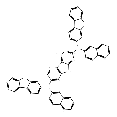 c1ccc2cc(N(c3ccc4c(c3)oc3ccccc34)c3cnc4c(c3)sc3nc(N(c5ccc6ccccc6c5)c5ccc6c(c5)oc5ccccc56)nnc34)ccc2c1